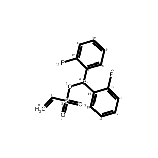 C=CS(=O)(=O)O[I+](c1ccccc1F)c1ccccc1F